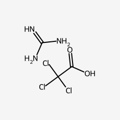 N=C(N)N.O=C(O)C(Cl)(Cl)Cl